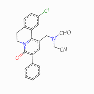 N#CCN(C=O)Cc1cc(-c2ccccc2)c(=O)n2c1-c1cc(Cl)ccc1CC2